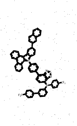 FC(F)(F)c1ccc(-c2cccc(N(c3ccc(C(F)(F)F)cc3)c3ccc(-c4ccc(-n5c6ccc(-c7ccc8ccccc8c7)cc6c6c7ccccc7c7ccccc7c65)cc4)c4nsnc34)c2)cc1